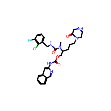 CN(C(=O)NCc1cccc(F)c1Cl)C(CCCN1CCNCC1=O)COC(=O)Nc1cc2ccccc2cn1